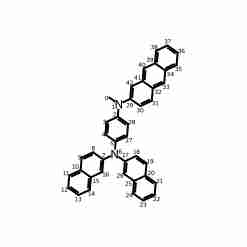 CN(c1ccc(N(c2ccc3ccccc3c2)c2ccc3ccccc3c2)cc1)c1ccc2cc3ccccc3cc2c1